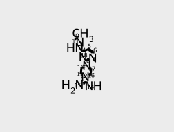 C/C=N/Nc1ccnc(N2CCN(C(=N)N)CC2)n1